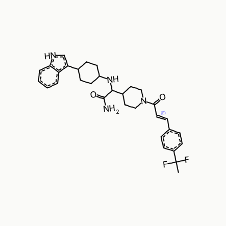 CC(F)(F)c1ccc(/C=C/C(=O)N2CCC(C(NC3CCC(c4c[nH]c5ccccc45)CC3)C(N)=O)CC2)cc1